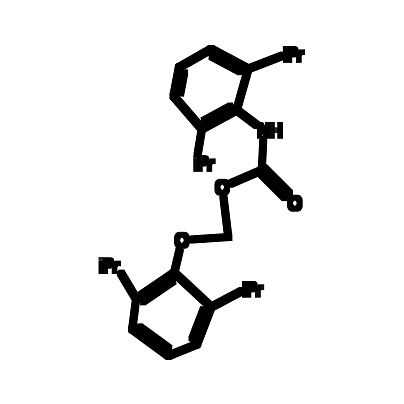 CC(C)c1cccc(C(C)C)c1NC(=O)OCOc1c(C(C)C)cccc1C(C)C